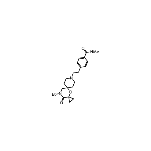 CCN1CC2(CCN(CCc3ccc(C(=O)NC)cc3)CC2)OC2(CC2)C1=O